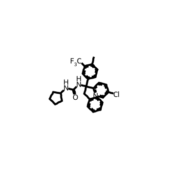 Cc1ccc(C(Cc2ccccc2)(NC(=O)NC2CCCC2)c2ccc(Cl)cn2)cc1C(F)(F)F